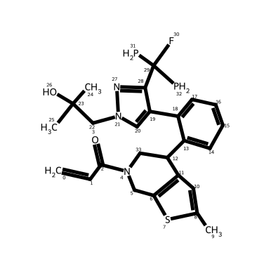 C=CC(=O)N1Cc2sc(C)cc2C(c2ccccc2-c2cn(CC(C)(C)O)nc2C(F)(P)P)C1